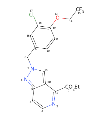 CCOC(=O)c1nccc2nn(Cc3ccc(OCC(F)(F)F)c(Cl)c3)cc12